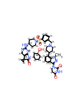 Cn1nc(N2CCC(=O)NC2=O)c2cccc(C3CCN(Cc4cccc(S(=O)(=O)N5CCC(Nc6ncc7c(n6)N([C@H]6CCC[C@H](O)C6)C(=O)C76CC6)CC5)c4)CC3)c21